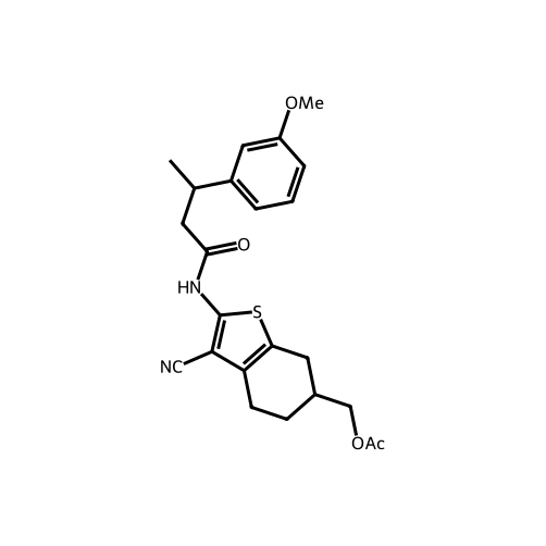 COc1cccc(C(C)CC(=O)Nc2sc3c(c2C#N)CCC(COC(C)=O)C3)c1